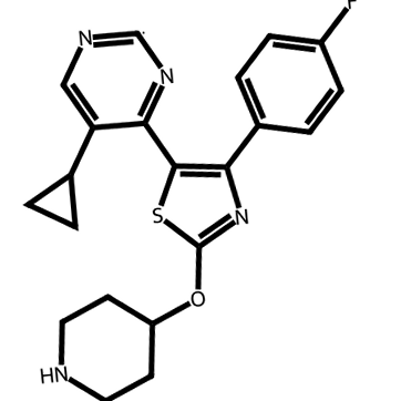 Fc1ccc(-c2nc(OC3CCNCC3)sc2-c2n[c]ncc2C2CC2)cc1